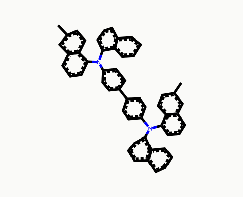 Cc1ccc2c(N(c3ccc(-c4ccc(N(c5cccc6ccccc56)c5cccc6cc(C)ccc56)cc4)cc3)c3cccc4ccccc34)cccc2c1